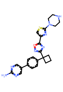 Nc1ncc(-c2ccc(C3(c4noc(-c5csc(N6CCNCC6)n5)n4)CCC3)cc2)cn1